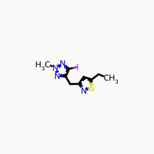 CCc1cc(Cc2nn(C)nc2I)ns1